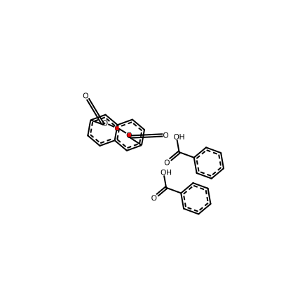 O=C(O)c1ccccc1.O=C(O)c1ccccc1.O=C1OCCOC(=O)c2ccc3cc1ccc3c2